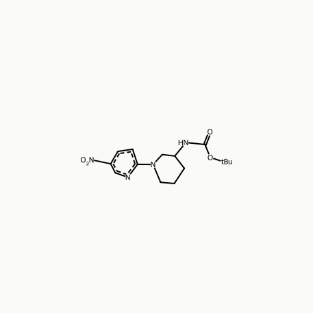 CC(C)(C)OC(=O)NC1CCCN(c2ccc([N+](=O)[O-])cn2)C1